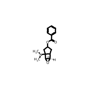 CN(C)C12CC(OC(=O)c3ccccc3)CC1[C@H]1OC12